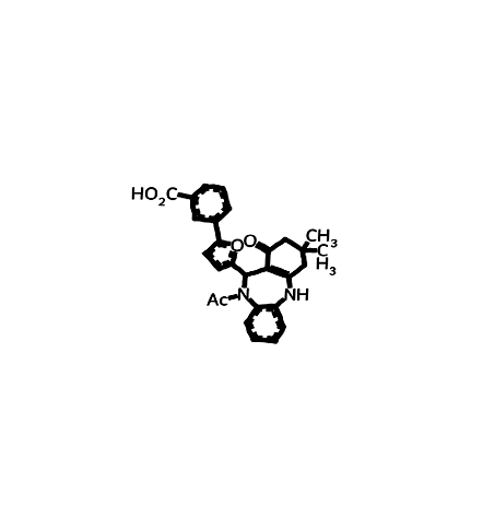 CC(=O)N1c2ccccc2NC2=C(C(=O)CC(C)(C)C2)C1c1ccc(-c2cccc(C(=O)O)c2)o1